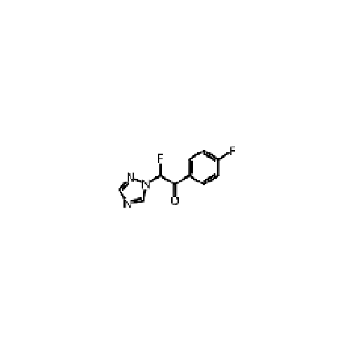 O=C(c1ccc(F)cc1)C(F)n1cncn1